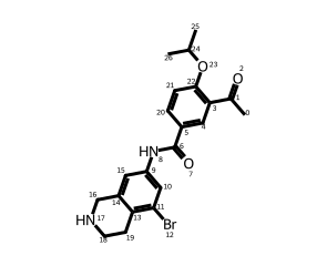 CC(=O)c1cc(C(=O)Nc2cc(Br)c3c(c2)CNCC3)ccc1OC(C)C